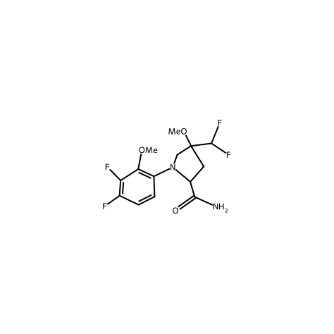 COc1c(N2CC(OC)(C(F)F)CC2C(N)=O)ccc(F)c1F